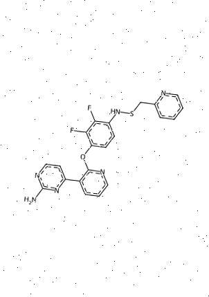 Nc1nccc(-c2cccnc2Oc2ccc(NSCc3ccccn3)c(F)c2F)n1